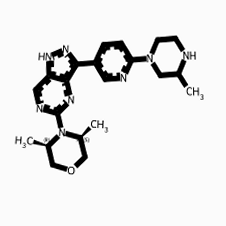 CC1CN(c2ccc(-c3n[nH]c4cnc(N5[C@H](C)COC[C@@H]5C)nc34)cn2)CCN1